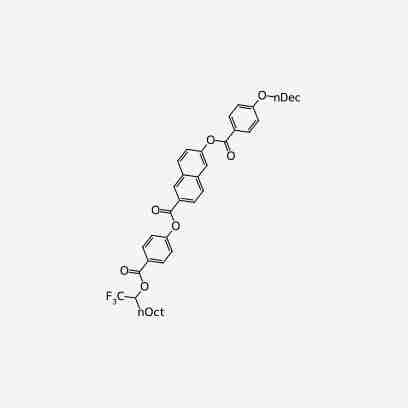 CCCCCCCCCCOc1ccc(C(=O)Oc2ccc3cc(C(=O)Oc4ccc(C(=O)OC(CCCCCCCC)C(F)(F)F)cc4)ccc3c2)cc1